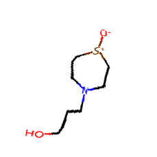 [O-][S+]1CCN(CCCO)CC1